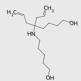 C=CCC(CC=C)(CCCCO)NCCCCCO